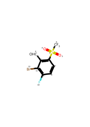 O=Cc1c(S(=O)(=O)C(F)(F)F)ccc(F)c1Br